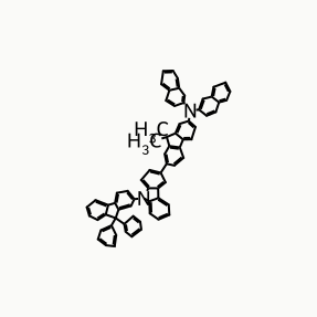 CC1(C)c2cc(-c3ccc4c(c3)c3ccccc3n4-c3ccc4c(c3)C(c3ccccc3)(c3ccccc3)c3ccccc3-4)ccc2-c2ccc(N(c3ccc4ccccc4c3)c3ccc4ccccc4c3)cc21